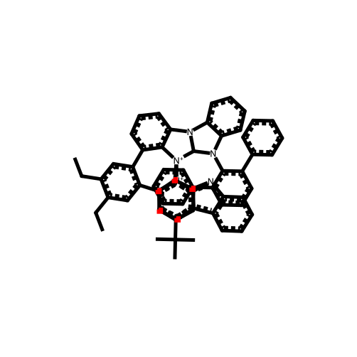 CCc1cc2c(cc1CC)-c1ccc3c4ccccc4n4c3c1[N+]1(c3c-2cccc3N2c3ccccc3N(c3c(-c5ccccc5)cccc3-c3ccccc3)C21)[n+]1ccc(C(C)(C)C)cc1-4